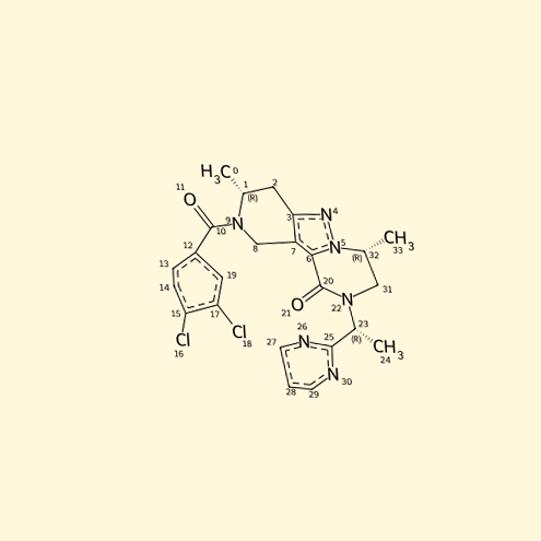 C[C@@H]1Cc2nn3c(c2CN1C(=O)c1ccc(Cl)c(Cl)c1)C(=O)N([C@H](C)c1ncccn1)C[C@H]3C